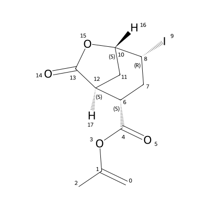 C=C(C)OC(=O)[C@H]1C[C@@H](I)[C@@H]2C[C@@H]1C(=O)O2